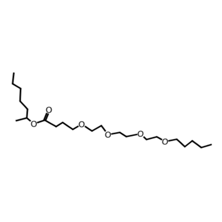 CCCCCOCCOCCOCCOCCCC(=O)OC(C)CCCCC